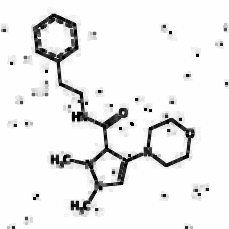 CN1C=C(N2CCOCC2)C(C(=O)NCCc2ccccc2)N1C